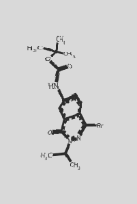 CC(C)n1nc(Br)c2ccc(NC(=O)OC(C)(C)C)cc2c1=O